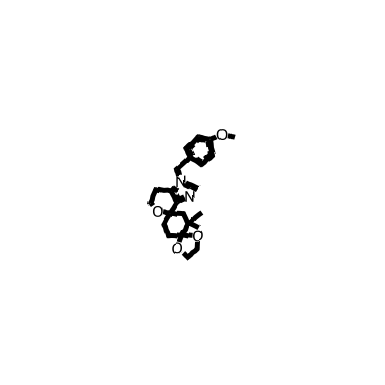 COc1ccc(Cn2cnc3c2CCOC32CCC3(OCCO3)C(C)(C)C2)cc1